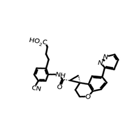 N#Cc1ccc(CCCC(=O)O)c(NC(=O)[C@@H]2C[C@]23CCOc2ccc(-c4cccnn4)cc23)c1